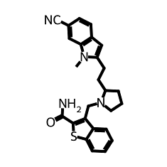 Cn1c(CCC2CCCN2Cc2c(C(N)=O)sc3ccccc23)cc2ccc(C#N)cc21